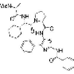 CN[C@@H](C)C(=O)N[C@H](C(=O)N1CCC[C@H]1C(=O)Nc1sc(NC(=O)c2ccccc2)nc1-c1ccccc1)C1CCCCC1